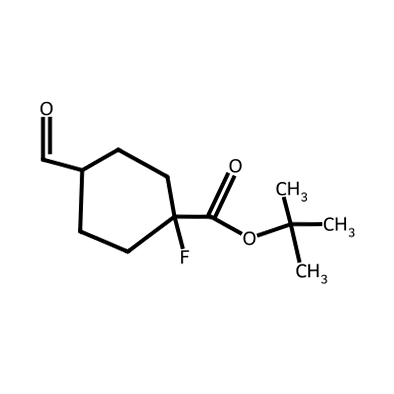 CC(C)(C)OC(=O)C1(F)CCC(C=O)CC1